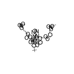 COc1ccccc1Oc1c(OCCOC(=O)c2cccc(CO[N+](=O)[O-])c2)nc(-c2ncccn2)nc1N(C(C)OC(=O)OCCCCO[N+](=O)[O-])S(=O)(=O)c1ccc(C(C)(C)C)cc1